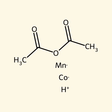 CC(=O)OC(C)=O.[Co].[H+].[Mn]